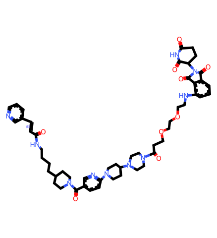 O=C(/C=C/c1cccnc1)NCCCCC1CCN(C(=O)c2ccc(N3CCC(N4CCN(C(=O)CCOCCOCCNc5cccc6c5C(=O)N(C5CCC(=O)NC5=O)C6=O)CC4)CC3)nc2)CC1